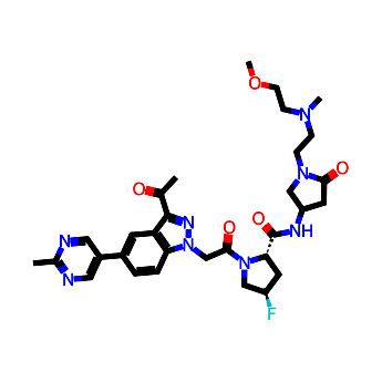 COCCN(C)CCN1CC(NC(=O)[C@@H]2C[C@@H](F)CN2C(=O)Cn2nc(C(C)=O)c3cc(-c4cnc(C)nc4)ccc32)CC1=O